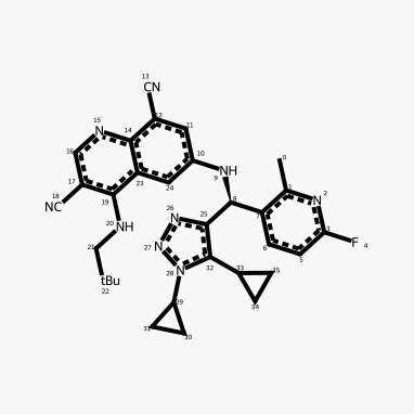 Cc1nc(F)ccc1[C@H](Nc1cc(C#N)c2ncc(C#N)c(NCC(C)(C)C)c2c1)c1nnn(C2CC2)c1C1CC1